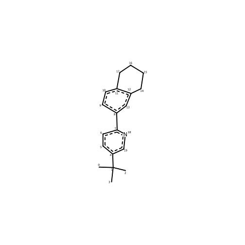 CC(C)(C)c1ccc(-c2ccc3c(c2)CCCC3)nc1